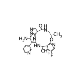 C[C@H]1CNC(=O)c2cnn3c(N)c(-c4cccnc4)c(nc23)N[C@H](C)c2cc(F)cnc2O1